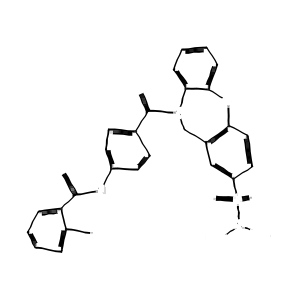 Cc1ccccc1C(=O)Nc1ccc(C(=O)N2Cc3cc(S(=O)(=O)N(C)C)ccc3Oc3ccccc32)cc1